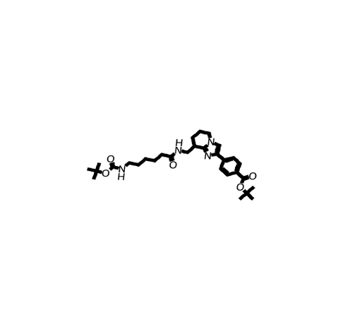 CC(C)(C)OC(=O)NCCCCCC(=O)NCC1CCCn2cc(-c3ccc(C(=O)OC(C)(C)C)cc3)nc21